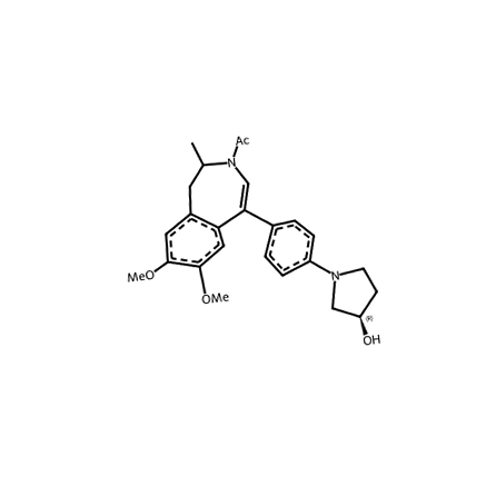 COc1cc2c(cc1OC)C(c1ccc(N3CC[C@@H](O)C3)cc1)=CN(C(C)=O)C(C)C2